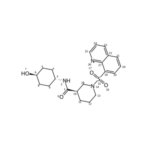 O=C(N[C@H]1CC[C@H](O)CC1)[C@@H]1CCCN(S(=O)(=O)c2cccc3cccnc23)C1